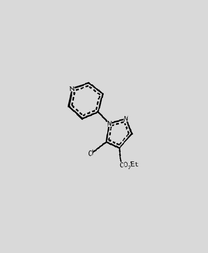 CCOC(=O)c1cnn(-c2ccncc2)c1Cl